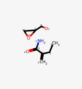 C=C(CC)C(N)=O.[O]CC1CO1